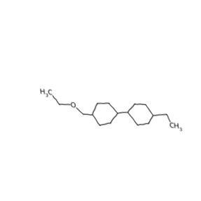 CCOCC1CCC(C2CCC(CC)CC2)CC1